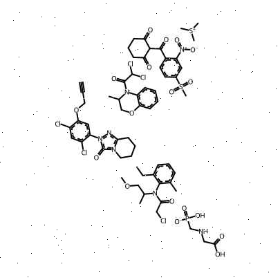 C#CCOc1cc(-n2nc3n(c2=O)CCCC3)c(Cl)cc1Cl.CC1COc2ccccc2N1C(=O)C(Cl)Cl.CCc1cccc(C)c1N(C(=O)CCl)C(C)COC.CS(=O)(=O)c1ccc(C(=O)C2C(=O)CCCC2=O)c([N+](=O)[O-])c1.C[S+](C)C.O=C(O)CNCP(=O)([O-])O